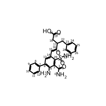 NC(=O)c1c(N)c(-c2ccccc2)cc(/C=C/C(CC(=O)O)Cc2ccccc2)c1S(N)(=O)=O